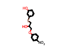 O=[N+]([O-])c1ccc(OCC(O)CSc2cccc(O)c2)cc1